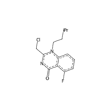 CC(C)CCn1c(CCl)nc(=O)c2c(F)cccc21